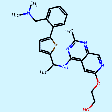 Cc1nc(NC(C)c2ccc(-c3ccccc3CN(C)C)s2)c2cc(OCCO)ncc2n1